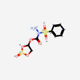 NN(C(=O)OC1COS(=O)O1)S(=O)(=O)c1ccccc1